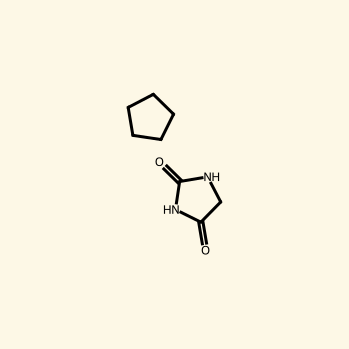 C1CCCC1.O=C1CNC(=O)N1